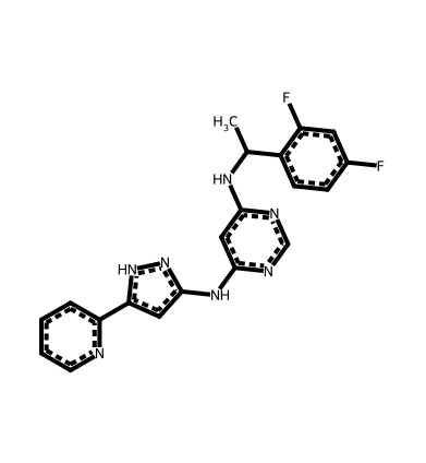 CC(Nc1cc(Nc2cc(-c3ccccn3)[nH]n2)ncn1)c1ccc(F)cc1F